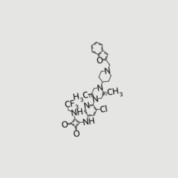 C[C@@H]1CN(c2ncc(Nc3c(NCC(F)(F)F)c(=O)c3=O)cc2Cl)[C@@H](C)CN1C1CCN(Cc2cc3ccccc3o2)CC1